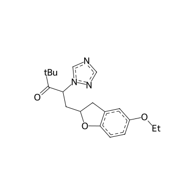 CCOc1ccc2c(c1)CC(CC(C(=O)C(C)(C)C)n1cncn1)O2